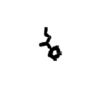 CCOC(=O)n1cnnn1